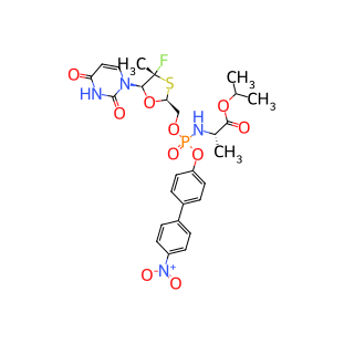 CC(C)OC(=O)[C@H](C)NP(=O)(OC[C@H]1O[C@@H](n2ccc(=O)[nH]c2=O)[C@](C)(F)S1)Oc1ccc(-c2ccc([N+](=O)[O-])cc2)cc1